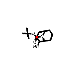 CC(C)(C)OC(=O)N1C2CCCC1C(O)CC2